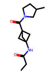 CCC(=O)NC12CC(C(=O)N3CCC(C)C3)(C1)C2